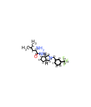 CC(C)C[C@H](N)C(=O)N[C@H]1CC[C@@H]2CN(Cc3cccc(C(F)(F)F)c3)C[C@@H]21